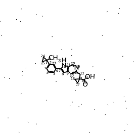 CC1(c2cccc(-c3cc4cc(CC5(C(=O)O)CC5)ncc4[nH]3)c2)CC1